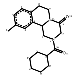 Cc1ccc2c(c1)C1CN(C(=O)C3CCCCC3)CC(=O)N1CC2